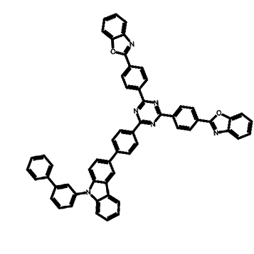 c1ccc(-c2cccc(-n3c4ccccc4c4cc(-c5ccc(-c6nc(-c7ccc(-c8nc9ccccc9o8)cc7)nc(-c7ccc(-c8nc9ccccc9o8)cc7)n6)cc5)ccc43)c2)cc1